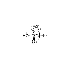 O=S(=O)(O)C(F)(F)F.[Zn]